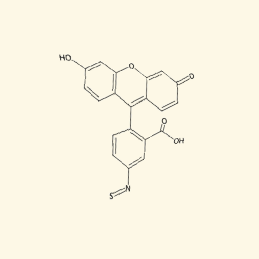 O=C(O)c1cc(N=S)ccc1-c1c2ccc(=O)cc-2oc2cc(O)ccc12